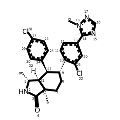 C[C@H]1NC(=O)[C@]2(C)CC[C@@H](c3ccc(-c4ncnn4C)cc3Cl)[C@H](c3ccc(Cl)cc3)[C@H]12